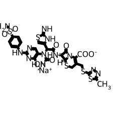 Cc1nnc(SCC2=C(C(=O)[O-])N3C(=O)[C@@H](NC(=O)C(c4csc(=N)[nH]4)N(C(N)=O)c4cnc(Nc5ccc(S(N)(=O)=O)cc5)nc4O)[C@@H]3SC2)s1.[Na+]